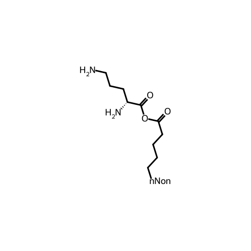 CCCCCCCCCCCCCC(=O)OC(=O)[C@H](N)CCCN